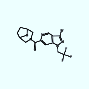 O=C(c1cc2c(cn1)c(Br)nn2CC(F)(F)F)N1CC2CCC(C1)O2